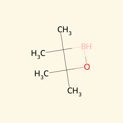 CC1(C)BOC1(C)C